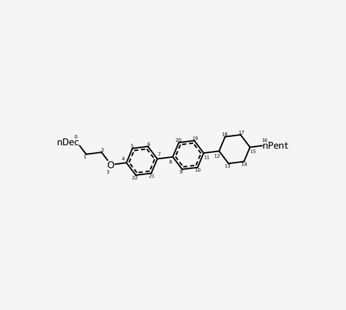 CCCCCCCCCCCCOc1ccc(-c2ccc(C3CCC(CCCCC)CC3)cc2)cc1